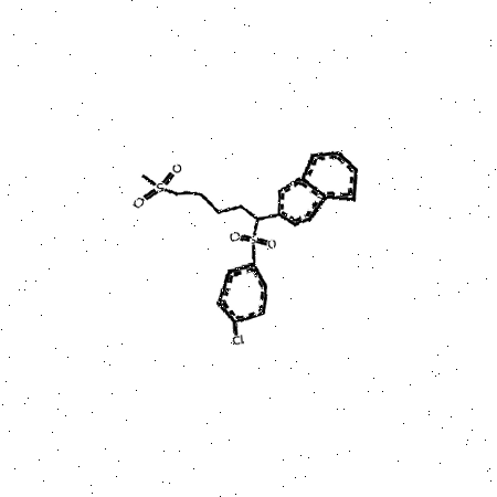 CS(=O)(=O)CCCCC(c1ccc2ccccc2c1)S(=O)(=O)c1ccc(Cl)cc1